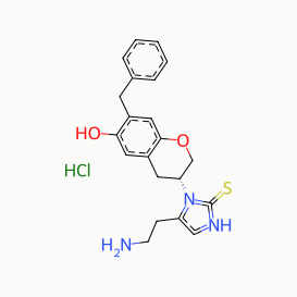 Cl.NCCc1c[nH]c(=S)n1[C@H]1COc2cc(Cc3ccccc3)c(O)cc2C1